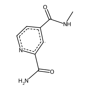 CNC(=O)c1[c]c(C(N)=O)ncc1